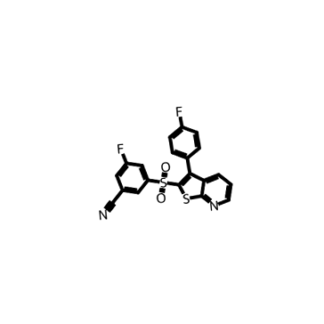 N#Cc1cc(F)cc(S(=O)(=O)c2sc3ncccc3c2-c2ccc(F)cc2)c1